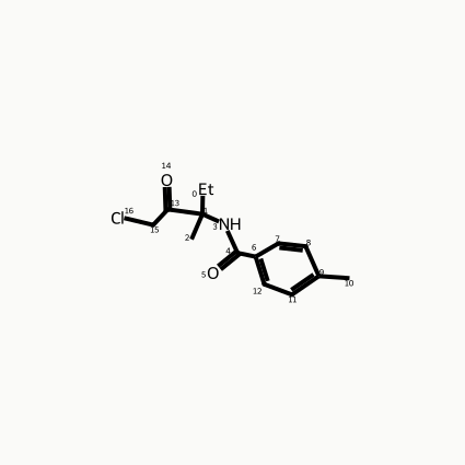 CCC(C)(NC(=O)c1ccc(C)cc1)C(=O)CCl